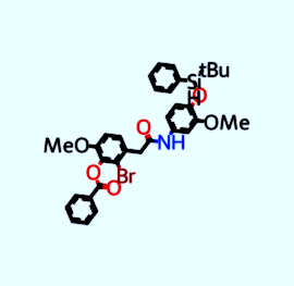 COc1cc(NC(=O)Cc2ccc(OC)c(OC(=O)c3ccccc3)c2Br)ccc1O[SiH](c1ccccc1)C(C)(C)C